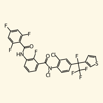 O=C(Nc1cccc(C(=O)N(Cl)c2ccc(C(F)(c3ccsc3)C(F)(F)F)cc2Cl)c1F)c1c(F)cc(F)cc1F